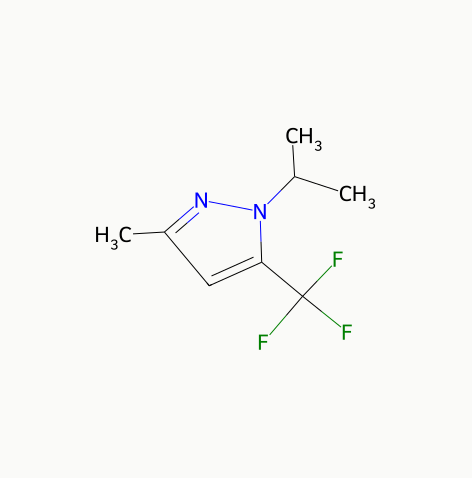 Cc1cc(C(F)(F)F)n(C(C)C)n1